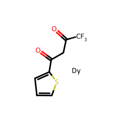 O=C(CC(=O)C(F)(F)F)c1cccs1.[Dy]